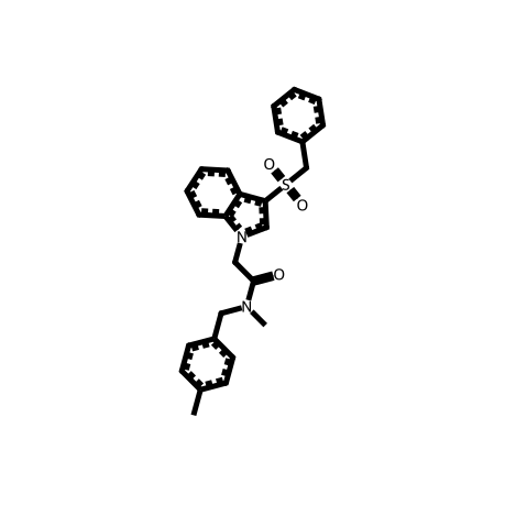 Cc1ccc(CN(C)C(=O)Cn2cc(S(=O)(=O)Cc3ccccc3)c3ccccc32)cc1